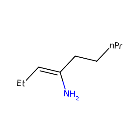 CCC=C(N)CCCCC